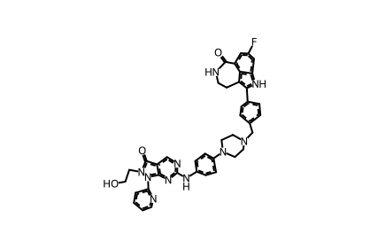 O=C1NCCc2c(-c3ccc(CN4CCN(c5ccc(Nc6ncc7c(=O)n(CCO)n(-c8ccccn8)c7n6)cc5)CC4)cc3)[nH]c3cc(F)cc1c23